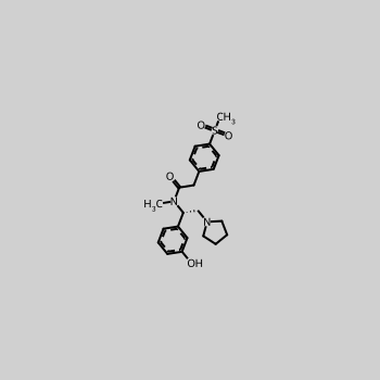 CN(C(=O)Cc1ccc(S(C)(=O)=O)cc1)[C@H](CN1CCCC1)c1cccc(O)c1